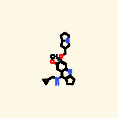 COc1cc2c(NCC3CC3)c3c(nc2cc1OCC1CC2CCCN2C1)CCC3